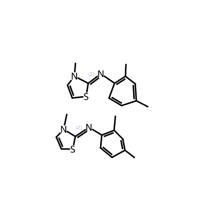 Cc1ccc(/N=c2\sccn2C)c(C)c1.Cc1ccc(/N=c2\sccn2C)c(C)c1